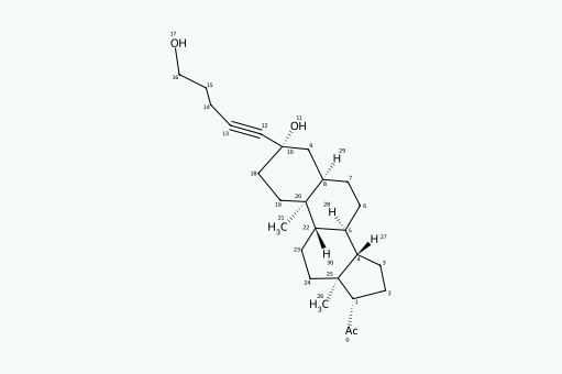 CC(=O)[C@H]1CC[C@H]2[C@@H]3CC[C@@H]4C[C@](O)(C#CCCCO)CC[C@]4(C)[C@H]3CC[C@]12C